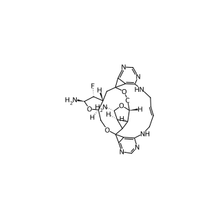 N[C@@H]1O[C@@H]2COC34c5ncnc(c53)NC/C=C/CNc3ncnc5c3C5(C[C@H]2[C@H]1F)OC[C@H]1O[C@@H](N)[C@@H]2C4[C@@H]21